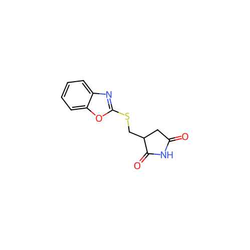 O=C1CC(CSc2nc3ccccc3o2)C(=O)N1